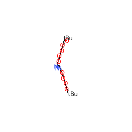 CC(C)(C)CCOCCOCCOCCOCCn1cc(COCCOCCOCCOCCC(=O)C(C)(C)C)nn1